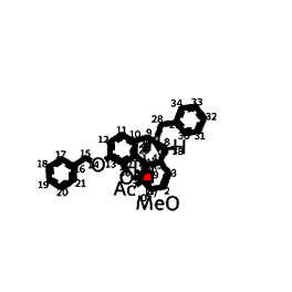 CO[C@@]12C=C[C@]3(C[C@H]1C(C)=O)[C@H]1Cc4ccc(OCc5ccccc5)c5c4[C@]3(CCN1Cc1ccccc1)[C@@H]2O5